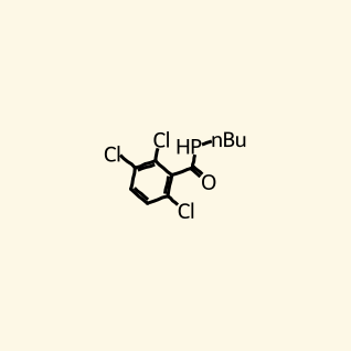 CCCCPC(=O)c1c(Cl)ccc(Cl)c1Cl